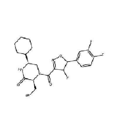 CC(C)C[C@H]1C(=O)N[C@@H](C2CCCCC2)CN1C(=O)C1=NOC(c2ccc(F)c(F)c2)C1F